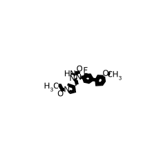 CCC(=O)N1CC[C@@H](Cc2n[nH]c(=O)n2-c2ccc(-c3cccc(OC)c3)cc2F)C1